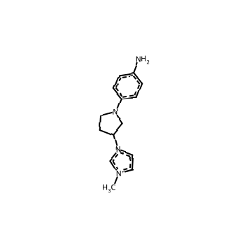 C[n+]1ccn(C2CCN(c3ccc(N)cc3)C2)c1